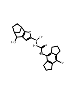 O=C(Nc1c2c(c(Br)c3c1CCC3)CCC2)N[S+]([O-])c1cc2c(o1)C1CCC(C1)C2O